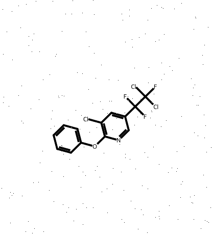 FC(Cl)(Cl)C(F)(F)c1cnc(Oc2ccccc2)c(Cl)c1